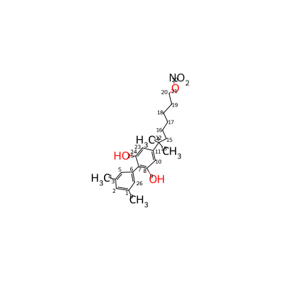 Cc1cc(C)cc(-c2c(O)cc(C(C)(C)CCCCCCO[N+](=O)[O-])cc2O)c1